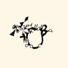 C=C[C@@H]1C[C@]1(NC(=O)[C@@H]1C[C@@H]2CN1C(=O)[C@H](C(C)(C)C)NC(=O)OCCCCCc1cc(OC)c3ccnc(c3c1)O2)C(=O)NS(=O)(=O)C1CC1